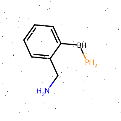 NCc1ccccc1BP